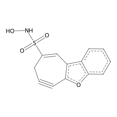 O=S(=O)(NO)C1=Cc2c(oc3ccccc23)C#CC1